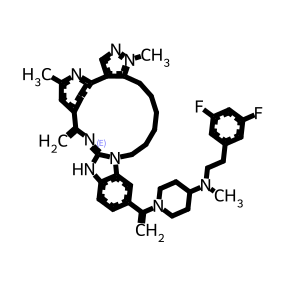 C=C1/N=C2\Nc3ccc(C(=C)N4CCC(N(C)CCc5cc(F)cc(F)c5)CC4)cc3N2CCCCCCc2c(cnn2C)-c2cc1cc(C)n2